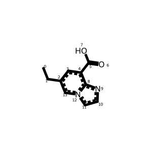 CCc1cc(C(=O)O)c2nccn2c1